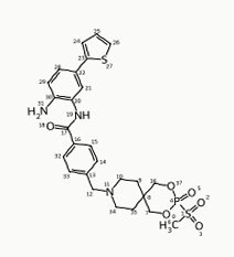 CS(=O)(=O)P1(=O)OCC2(CCN(Cc3ccc(C(=O)Nc4cc(-c5cccs5)ccc4N)cc3)CC2)CO1